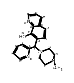 CN1CCN(C(c2ccccn2)c2ccc3cccnc3c2O)CC1